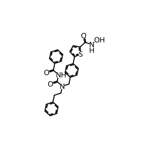 O=C(NC(=O)N(CCc1ccccc1)Cc1ccc(-c2ccc(C(=O)NO)s2)cc1)c1ccccc1